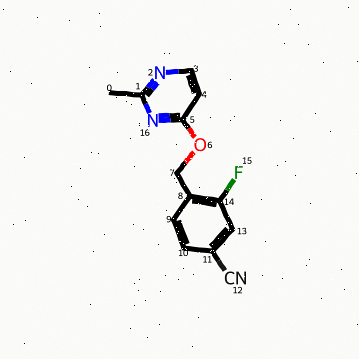 Cc1nccc(OCc2ccc(C#N)cc2F)n1